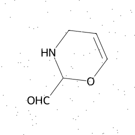 O=CC1NCC=CO1